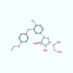 CCOc1ccc(Cc2cc([C@@H]3O[C@H](C(O)CO)[C@H](O)[C@H]3O)ccc2Cl)cc1